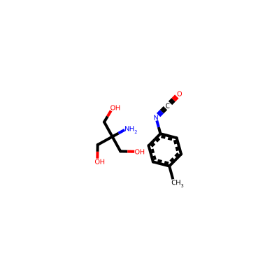 Cc1ccc(N=C=O)cc1.NC(CO)(CO)CO